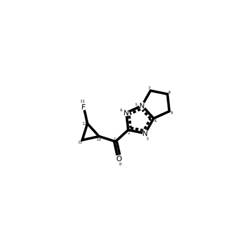 O=C(c1nc2n(n1)CCC2)C1CC1F